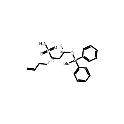 C=CCC[C@@H](C[C@H](C)O[Si](c1ccccc1)(c1ccccc1)C(C)(C)C)S(N)(=O)=O